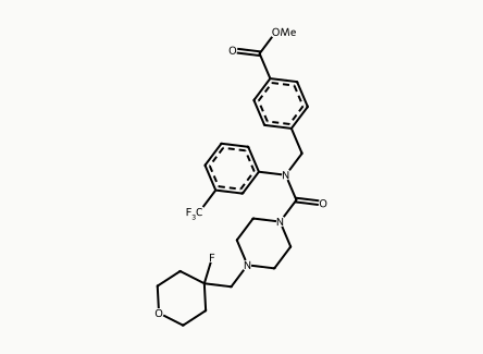 COC(=O)c1ccc(CN(C(=O)N2CCN(CC3(F)CCOCC3)CC2)c2cccc(C(F)(F)F)c2)cc1